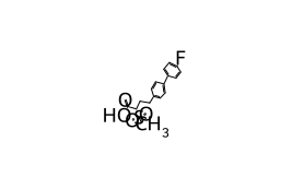 CS(=O)(=O)C(CCc1ccc(-c2ccc(F)cc2)cc1)C(=O)O